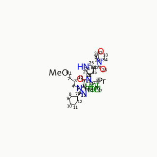 COCCCCn1c(C2CCCCC2)nc(Cl)c1C(=O)N(CC(C)C)[C@@H]1CNC[C@H](C(=O)N2CCOCC2)C1.Cl.Cl